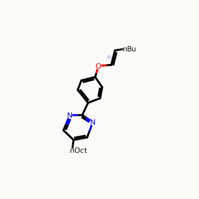 CCCC/C=C/Oc1ccc(-c2ncc(CCCCCCCC)cn2)cc1